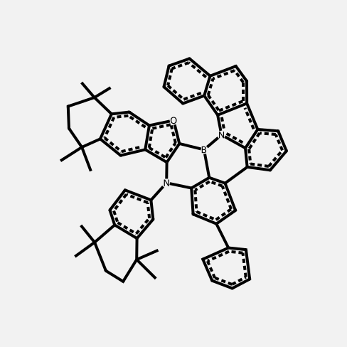 CC1(C)CCC(C)(C)c2cc(N3c4cc(-c5ccccc5)cc5c4B(c4oc6cc7c(cc6c43)C(C)(C)CCC7(C)C)n3c4c-5cccc4c4ccc5ccccc5c43)ccc21